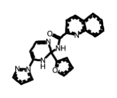 O=C(NC1(c2ccco2)N=CC=C(n2cccn2)N1)c1ccc2ccccc2n1